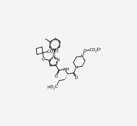 CCOC(=O)ON1CCN(C(=O)[C@H](CCC(=O)O)NC(=O)c2cc(OC3(C(=O)OCC)CCC3)n(-c3cccc(C)c3)n2)CC1